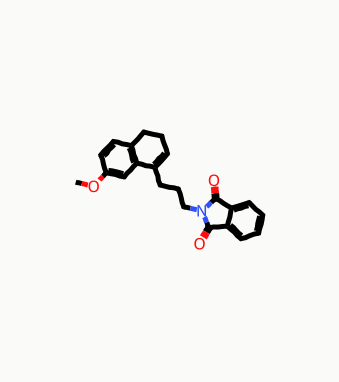 COc1ccc2c(c1)C(CCCN1C(=O)c3ccccc3C1=O)=CCC2